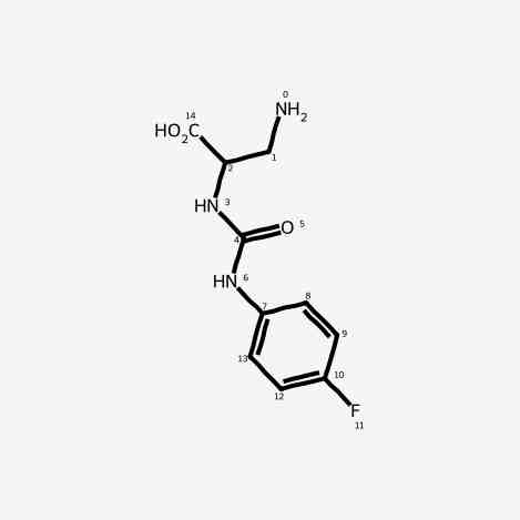 NCC(NC(=O)Nc1ccc(F)cc1)C(=O)O